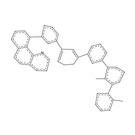 Cc1ccccc1-c1cccc(-c2cccc(C3=CC(c4cccc(-c5cccc6ccc7cccnc7c56)c4)=CCC3)c2)c1C